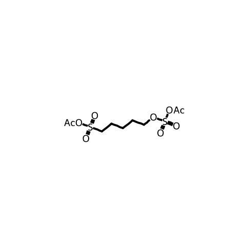 CC(=O)OS(=O)(=O)CCCCCOS(=O)(=O)OC(C)=O